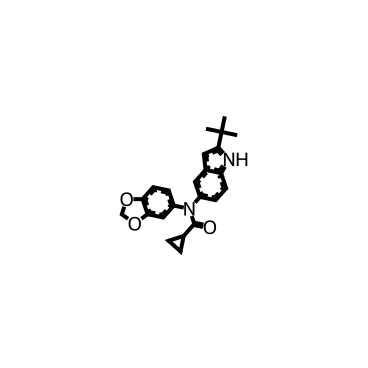 CC(C)(C)c1cc2cc(N(C(=O)C3CC3)c3ccc4c(c3)OCO4)ccc2[nH]1